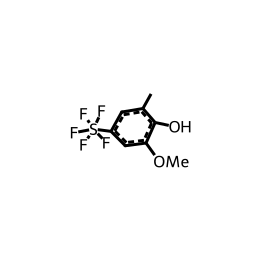 COc1cc(S(F)(F)(F)(F)F)cc(C)c1O